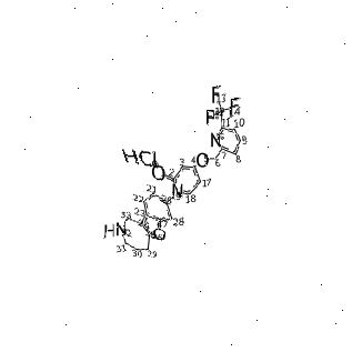 Cl.O=c1cc(OCc2cccc(C(F)(F)F)n2)ccn1-c1ccc2c3c(oc2c1)CCCNC3